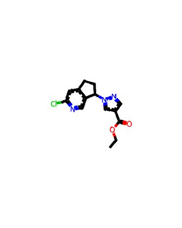 CCOC(=O)c1cnn(C2CCc3cc(Cl)ncc32)c1